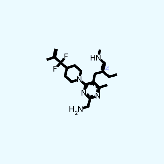 C=C(C)C(F)(F)C1CCN(c2nc(CN)nc(C)c2C/C(=C\NC)CC)CC1